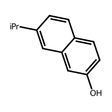 CC(C)c1ccc2ccc(O)cc2c1